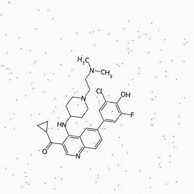 CN(C)CCN1CCC(Nc2c(C(=O)C3CC3)cnc3ccc(-c4cc(F)c(O)c(Cl)c4)cc23)CC1